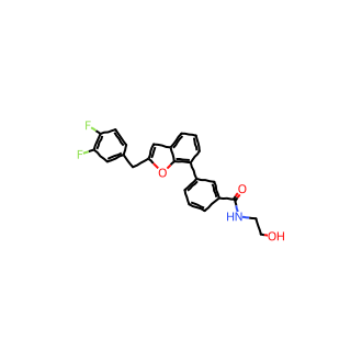 O=C(NCCO)c1cccc(-c2cccc3cc(Cc4ccc(F)c(F)c4)oc23)c1